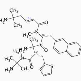 CN(C(=O)/C=C/CC(C)(C)N)[C@H](Cc1ccc2ccccc2c1)C(=O)C(C)(N)[C@H](Cc1cccs1)C(=O)N(C)C(C)(C)N